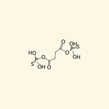 O=C(CCC(=O)OP(O)(O)=S)OP(O)(O)=S